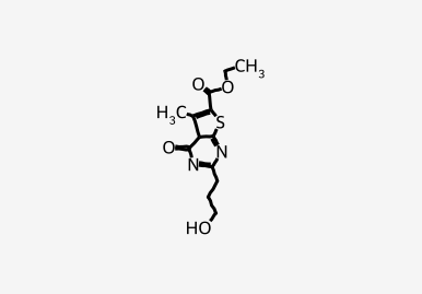 CCOC(=O)C1=C(C)C2C(=O)N=C(CCCO)N=C2S1